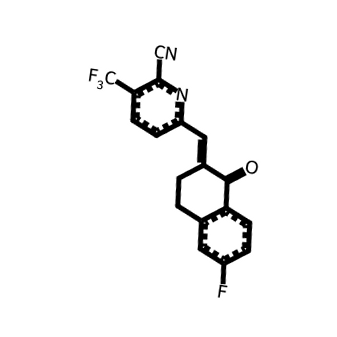 N#Cc1nc(/C=C2\CCc3cc(F)ccc3C2=O)ccc1C(F)(F)F